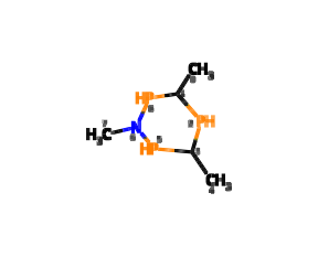 CC1PC(C)PN(C)P1